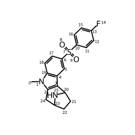 Cn1c2c(c3cc(S(=O)(=O)c4ccc(F)cc4)ccc31)C1CCC(C2)N1